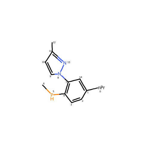 CCCc1ccc(PC)c(-n2ccc(C)n2)c1